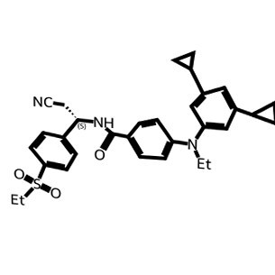 CCN(c1ccc(C(=O)N[C@@H](CC#N)c2ccc(S(=O)(=O)CC)cc2)cc1)c1cc(C2CC2)cc(C2CC2)c1